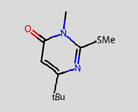 CSc1nc(C(C)(C)C)cc(=O)n1C